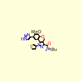 COc1cc2c(cc1-c1c[nH]nn1)-c1c(c(C(=O)N(C)C(C)(C)C)nn1-c1ccsc1)CO2